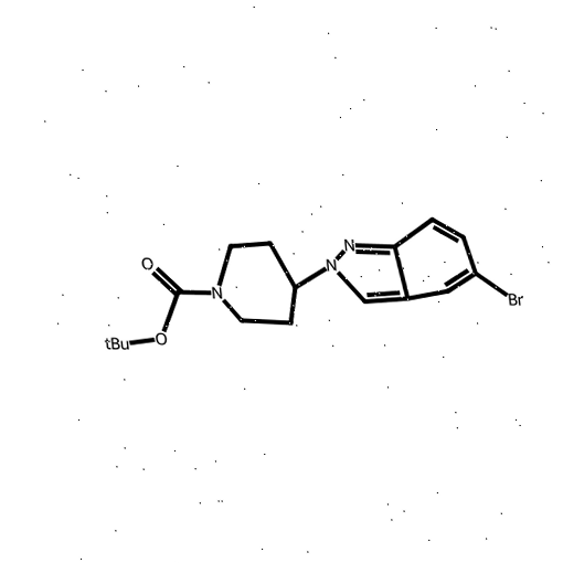 CC(C)(C)OC(=O)N1CCC(n2cc3cc(Br)ccc3n2)CC1